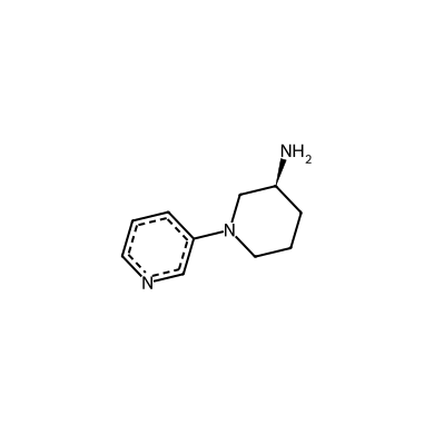 N[C@H]1CCCN(c2cccnc2)C1